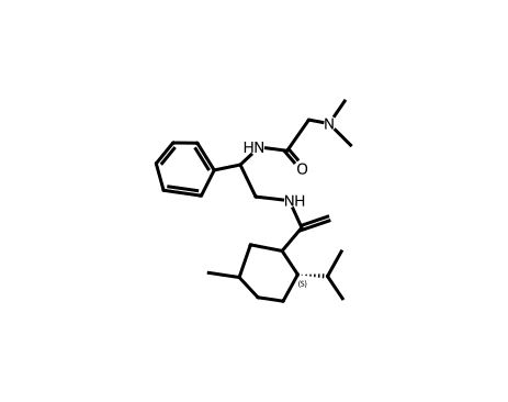 C=C(NCC(NC(=O)CN(C)C)c1ccccc1)C1CC(C)CC[C@H]1C(C)C